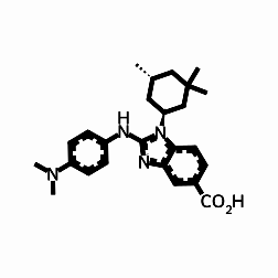 C[C@H]1C[C@H](n2c(Nc3ccc(N(C)C)cc3)nc3cc(C(=O)O)ccc32)CC(C)(C)C1